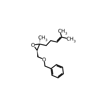 CC(C)=CCC[C@]1(C)O[C@@H]1COCc1ccccc1